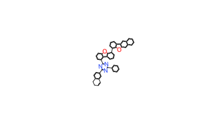 C1=Cc2cc(-c3nc(-c4ccccc4)nc(-c4cccc5oc6c(-c7cccc8c7oc7cc9ccccc9cc78)cccc6c45)n3)ccc2CC1